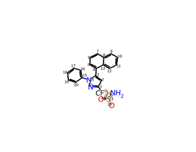 FC(F)(F)c1cc(-c2cccc3ccccc23)n(-c2ccccc2)n1.N[SH](=O)=O